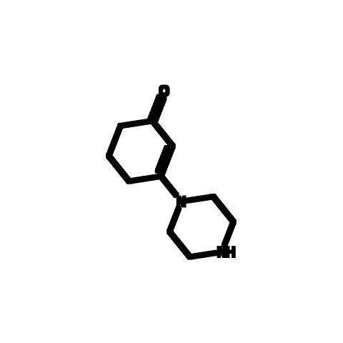 O=C1C=C(N2CCNCC2)CCC1